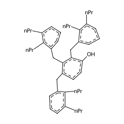 CCCc1cccc(Cc2ccc(O)c(Cc3cccc(CCC)c3CCC)c2Cc2cccc(CCC)c2CCC)c1CCC